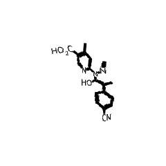 C=NN(/C(O)=C(\C)c1ccc(C#N)cc1)c1cc(C)c(C(=O)O)cn1